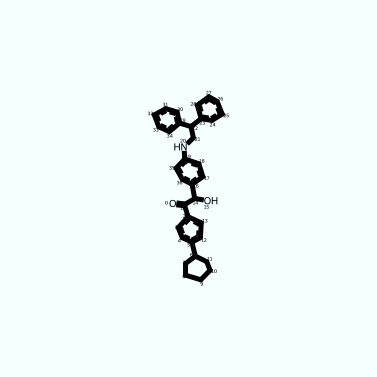 O=C(c1ccc(C2CCCCC2)cc1)C(O)c1ccc(NCC(c2ccccc2)c2ccccc2)cc1